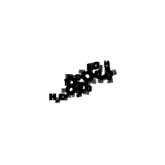 C=Cc1cc(C2(NC(=O)c3cc(OCC4CCN4)c([N+](=O)[O-])cc3C)CC2)c2cccnc2c1